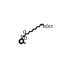 CCCCCCCC/C=C\CCCCCCCC(=O)c1nc2cccc(C)c2o1